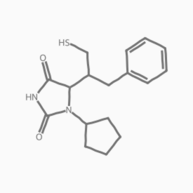 O=C1NC(=O)N(C2CCCC2)C1C(CS)Cc1ccccc1